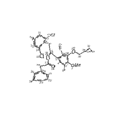 COc1c(F)cc(C(Cc2c(Cl)cncc2Cl)OC(=O)Cc2ccccc2)c(F)c1OCC1CC1